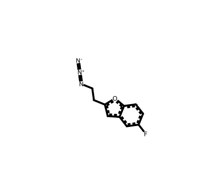 [N-]=[N+]=NCCc1cc2cc(F)c[c]c2o1